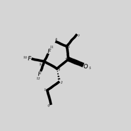 CCC[C@@H](C(=O)C(C)C)C(F)(F)F